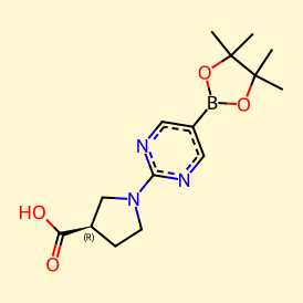 CC1(C)OB(c2cnc(N3CC[C@@H](C(=O)O)C3)nc2)OC1(C)C